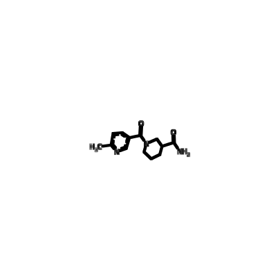 Cc1ccc(C(=O)N2CCCC(C(N)=O)C2)cn1